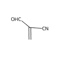 C=C(C#N)C=O